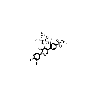 CC(O)[C@](C)(O)COc1c(-c2ccc(S(C)(=O)=O)cc2)cnn(-c2ccc(F)c(F)c2)c1=O